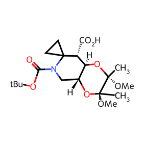 CO[C@@]1(C)O[C@@H]2[C@@H](C(=O)O)C3(CC3)N(C(=O)OC(C)(C)C)C[C@H]2O[C@]1(C)OC